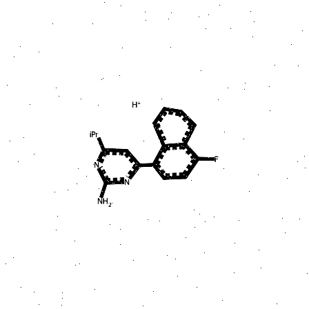 CC(C)c1cc(-c2ccc(F)c3ccccc23)nc(N)n1.[H+]